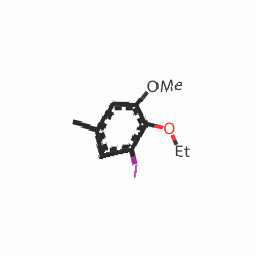 CCOc1c(I)cc(C)cc1OC